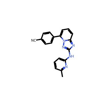 Cc1cccc(Nc2nc3cccc(-c4ccc(C#N)cc4)n3n2)n1